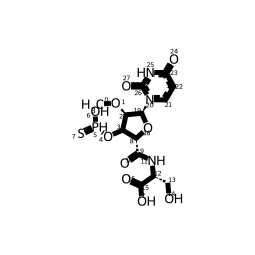 CO[C@H]1C(O[PH](O)=S)[C@@H](C(=O)N[C@H](CO)C(=O)O)O[C@H]1n1ccc(=O)[nH]c1=O